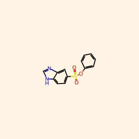 O=S(=O)(Oc1ccccc1)c1ccc2[nH]cnc2c1